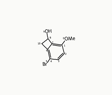 COc1ccc(Br)c2c1C(O)C2